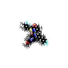 [2H]c1c([2H])c(F)c(F)c(C([2H])([2H])Sc2c([2H])c(=O)c3c([2H])c([2H])c([2H])c([2H])c3n2C([2H])([2H])C(=O)N(Cc2c([2H])c([2H])c(-c3c([2H])c([2H])c(C(F)(F)F)c(C)c3[2H])c([2H])c2[2H])C2([2H])C([2H])([2H])C([2H])([2H])N(C([2H])([2H])C([2H])([2H])OC([2H])([2H])[2H])C([2H])([2H])C2([2H])[2H])c1[2H]